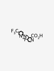 CC1(C)c2ccnc(C(=O)O)c2CN1c1ccc(C(F)(F)F)cn1